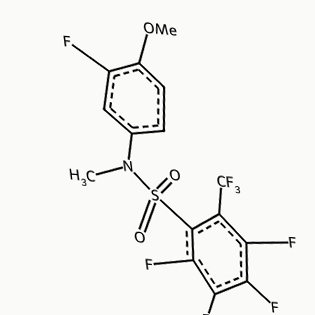 COc1ccc(N(C)S(=O)(=O)c2c(F)c(F)c(F)c(F)c2C(F)(F)F)cc1F